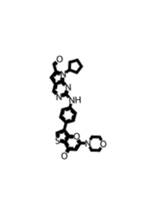 O=Cc1cc2cnc(Nc3ccc(-c4csc5c(=O)cc(N6CCOCC6)oc45)cc3)nc2n1C1CCCC1